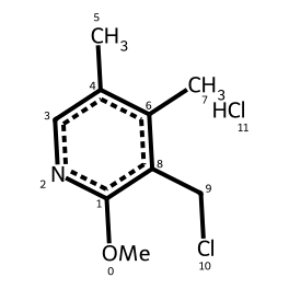 COc1ncc(C)c(C)c1CCl.Cl